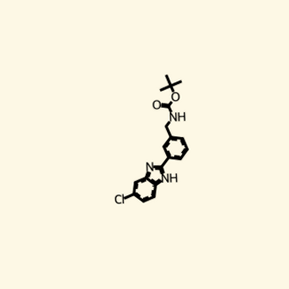 CC(C)(C)OC(=O)NCc1cccc(-c2nc3cc(Cl)ccc3[nH]2)c1